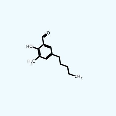 CCCCCc1cc(C)c(O)c(C=O)c1